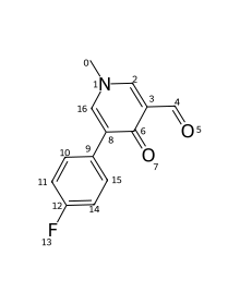 Cn1cc(C=O)c(=O)c(-c2ccc(F)cc2)c1